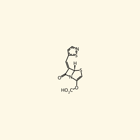 O=C(O)OC1=CS[C@H]2/C(=C\c3ccns3)C(=O)N12